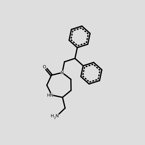 NCC1CCN(CC(c2ccccc2)c2ccccc2)C(=O)CN1